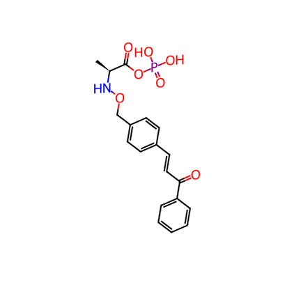 C[C@H](NOCc1ccc(/C=C/C(=O)c2ccccc2)cc1)C(=O)OP(=O)(O)O